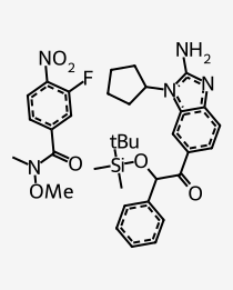 CC(C)(C)[Si](C)(C)OC(C(=O)c1ccc2nc(N)n(C3CCCC3)c2c1)c1ccccc1.CON(C)C(=O)c1ccc([N+](=O)[O-])c(F)c1